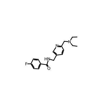 CCN(CC)Cc1ccc(CNC(=O)c2ccc(F)cc2)cn1